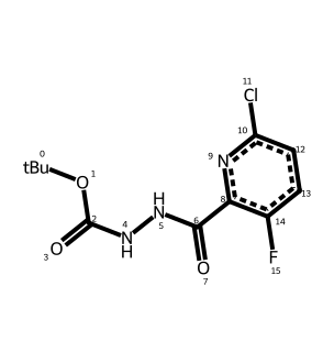 CC(C)(C)OC(=O)NNC(=O)c1nc(Cl)ccc1F